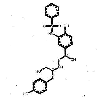 O=S(=O)(Nc1cc([C@@H](O)CN[C@H](CO)Cc2ccc(O)cc2)ccc1O)c1ccccc1